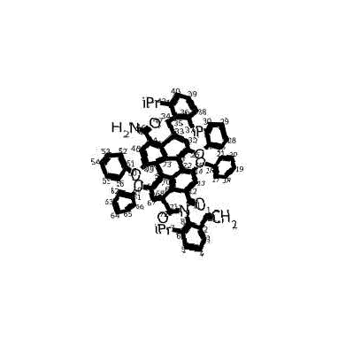 C=Cc1cccc(C(C)C)c1N1C(=O)c2cc(Oc3ccccc3)c3c4c(Oc5ccccc5)cc(Cc5c(C(C)C)cccc5C(C)C)c5c(C(N)=O)cc(Oc6ccccc6)c(c6c(Oc7ccccc7)cc(c2c36)C1=O)c54